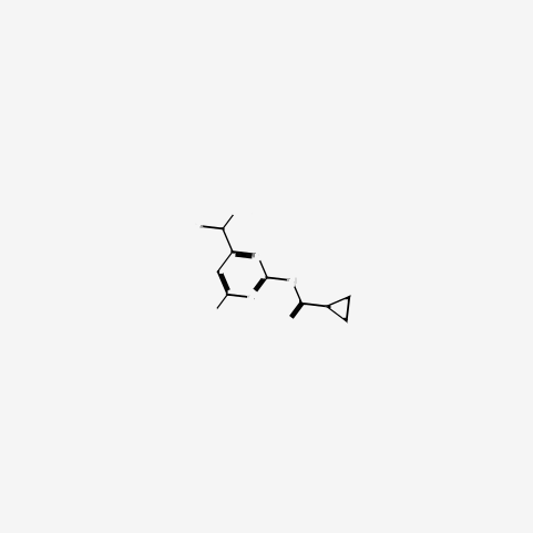 Cc1cc(C(C)N)nc(NC(=O)C2CC2)n1